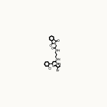 O=C(CN1C(=O)c2ccccc2C1=O)NCCCNc1cc(-c2ccccc2Cl)nc2c(Br)cnn12